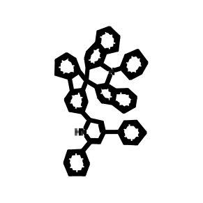 C1=C(c2ccccc2)C=C(c2ccccc2)NC1c1ccc2c(c1)C1(c3ccccc3-2)c2ccc3ccccc3c2N(c2ccccc2)c2c1ccc1ccccc21